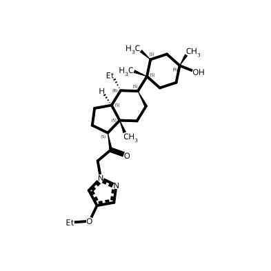 CCOc1cnn(CC(=O)[C@H]2CC[C@H]3[C@H](CC)[C@@H]([C@@]4(C)CC[C@@](C)(O)C[C@@H]4C)CC[C@]23C)c1